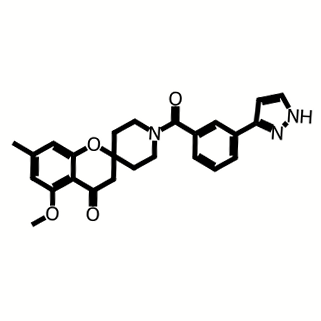 COc1cc(C)cc2c1C(=O)CC1(CCN(C(=O)c3cccc(-c4cc[nH]n4)c3)CC1)O2